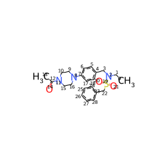 CCN(Cc1ccc(N2CCN(C(C)=O)CC2)cc1)S(=O)(=O)Cc1ccccc1